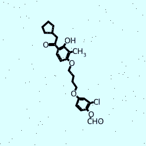 Cc1c(OCCCCOc2ccc(OC=O)c(Cl)c2)ccc(C(=O)CC2CCCC2)c1O